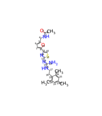 CC(=O)NCc1ccc(-c2csc(/N=C(\N)NCCc3c(C)cc(C)cc3C)n2)o1